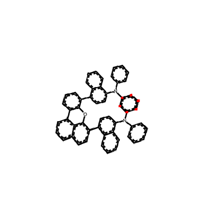 c1ccc(N(c2ccccc2)c2ccc(-c3cccc4c3Oc3c(-c5ccc(N(c6ccccc6)c6ccccc6)c6ccccc56)ccc5cccc-4c35)c3ccccc23)cc1